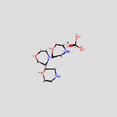 C1COCCN1.C1COCCN1.C1COCCN1.O=C(O)O